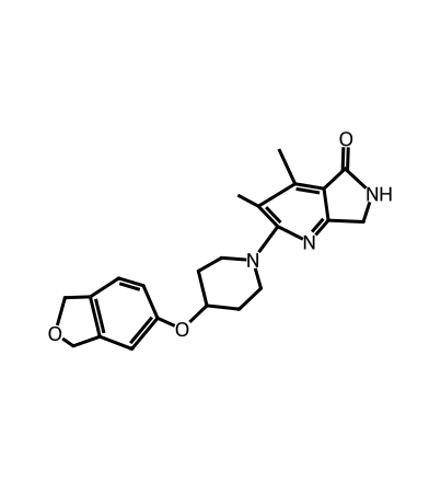 Cc1c(N2CCC(Oc3ccc4c(c3)COC4)CC2)nc2c(c1C)C(=O)NC2